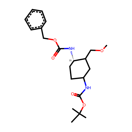 COCC1CC(NC(=O)OC(C)(C)C)CC[C@@H]1NC(=O)OCc1ccccc1